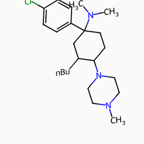 CCCCC1CC(c2ccc(Cl)cc2)(N(C)C)CCC1N1CCN(C)CC1